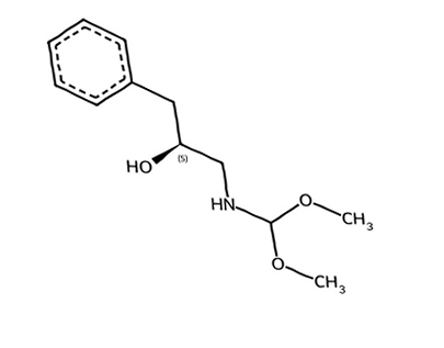 COC(NC[C@@H](O)Cc1ccccc1)OC